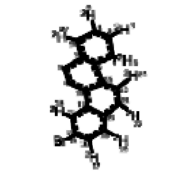 [2H]c1c([2H])c([2H])c2c(ccc3c4c([2H])c(Br)c([2H])c([2H])c4c([2H])c([2H])c32)c1[2H]